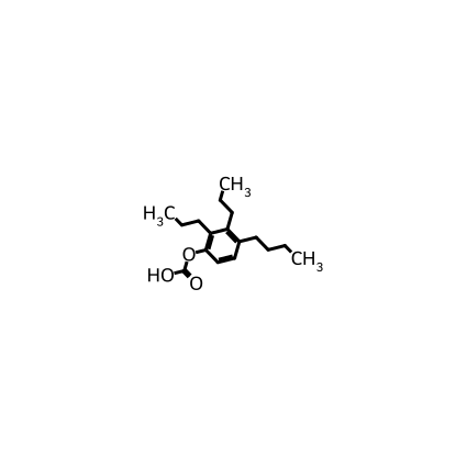 CCCCc1ccc(OC(=O)O)c(CCC)c1CCC